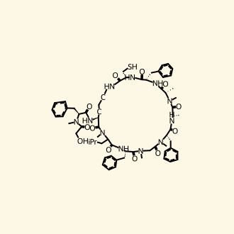 CC(C)CC1C(=O)N[C@@H](Cc2ccccc2)C(=O)N(C)CC(=O)N(C)[C@@H](Cc2ccccc2)C(=O)N[C@@H](C)C(=O)N(C)[C@@H](C)C(=O)N[C@@H](Cc2ccccc2)C(=O)N[C@@H](CS)C(=O)NCCCC[C@H](NC(=O)[C@H](Cc2ccccc2)N(C)C(=O)CO)C(=O)N1C